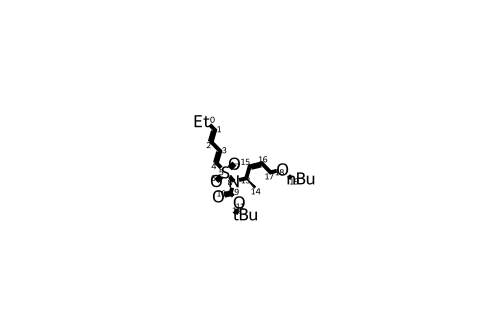 CC/C=C/C=C/S(=O)(=O)N(C(=O)OC(C)(C)C)[C@H](C)/C=C\COCCCC